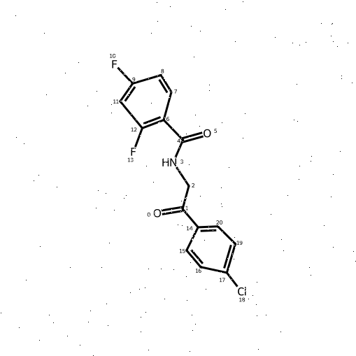 O=C(CNC(=O)c1ccc(F)cc1F)c1ccc(Cl)cc1